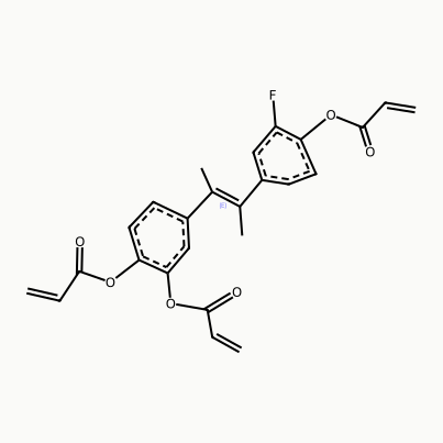 C=CC(=O)Oc1ccc(/C(C)=C(\C)c2ccc(OC(=O)C=C)c(OC(=O)C=C)c2)cc1F